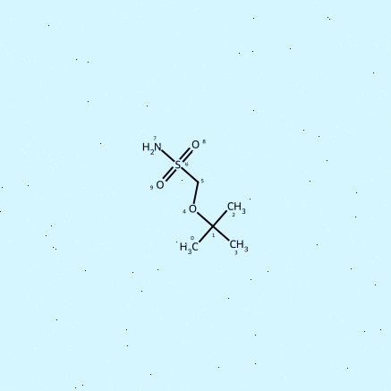 CC(C)(C)OCS(N)(=O)=O